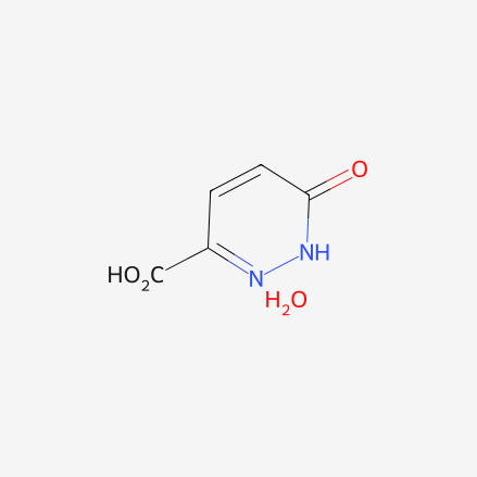 O.O=C(O)c1ccc(=O)[nH]n1